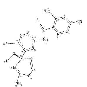 Cc1cc(C#N)cnc1C(=O)Nc1ccc(F)c([C@]2(CF)C=COC(N)=N2)c1